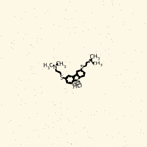 CN(C)CCSc1ccc2sc3ccc(SCCN(C)C)cc3c2c1.Cl.Cl